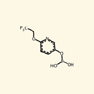 OB(O)Oc1ccc(OCC(F)(F)F)nc1